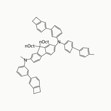 CCCCCCCCC1(CCCCCCCC)c2cc(N(C)c3cccc(-c4ccc5c(c4)CC5)c3)ccc2-c2ccc(N(c3ccc(-c4ccc(C)cc4)cc3)c3cccc(-c4ccc5c(c4)CC5)c3)cc21